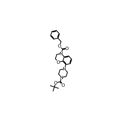 CC(C)(C)OC(=O)N1CCN(c2cccc3c2OCCN3C(=O)OCc2ccccc2)CC1